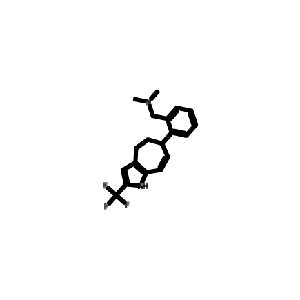 CN(C)Cc1ccccc1C1C=Cc2[nH]c(C(F)(F)F)cc2CC1